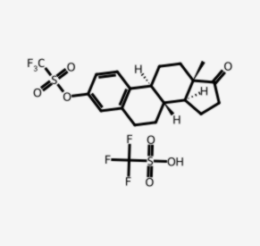 C[C@]12CC[C@@H]3c4ccc(OS(=O)(=O)C(F)(F)F)cc4CC[C@H]3[C@@H]1CCC2=O.O=S(=O)(O)C(F)(F)F